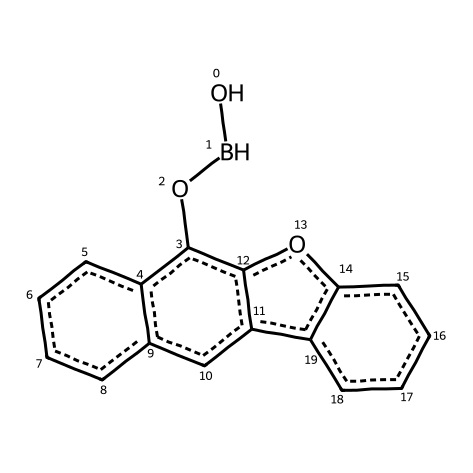 OBOc1c2ccccc2cc2c1oc1ccccc12